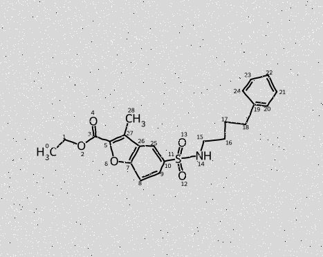 CCOC(=O)c1oc2ccc(S(=O)(=O)NCCCCc3ccccc3)cc2c1C